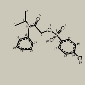 CC(C)N(C(=O)COS(=O)(=O)c1ccc(Cl)cc1)c1ccccc1